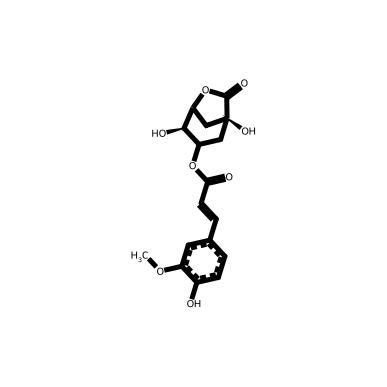 COc1cc(/C=C/C(=O)OC2C[C@]3(O)CC(OC3=O)[C@@H]2O)ccc1O